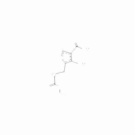 COC(=O)c1csc(CNC(=O)OC(C)(C)C)c1OC